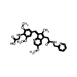 COc1cnc2c(c1)C(CC(=O)NCc1ccccn1)=C(C)/C2=C/c1cc(OC)c(NCC(=O)O)c(OC)c1